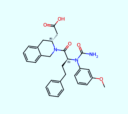 COc1cccc(N(C(N)=O)[C@@H](CCc2ccccc2)C(=O)N2Cc3ccccc3C[C@@H]2CC(=O)O)c1